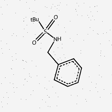 CC(C)(C)S(=O)(=O)NCc1ccccc1